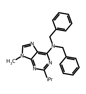 CC(C)c1nc(N(Cc2ccccc2)Cc2ccccc2)c2ncn(C)c2n1